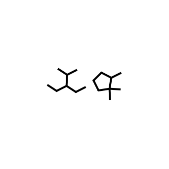 CC1CCCC1(C)C.CCC(CC)C(C)C